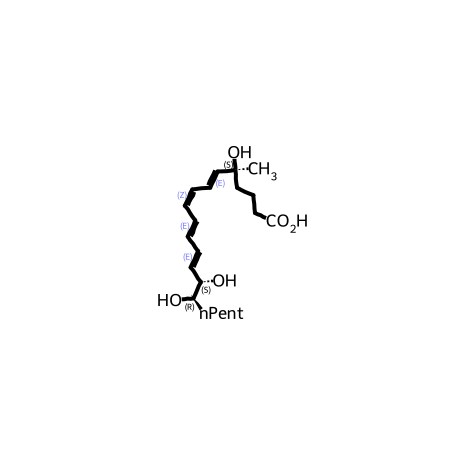 CCCCC[C@@H](O)[C@@H](O)/C=C/C=C/C=C\C=C\[C@@](C)(O)CCCC(=O)O